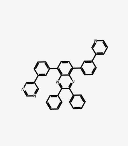 c1ccc(-c2nc3c(-c4cccc(-c5cccnc5)c4)ccc(-c4cccc(-c5cncnc5)c4)c3nc2-c2ccccc2)cc1